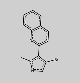 Cn1ncc(Br)c1-c1ccc2ccccc2n1